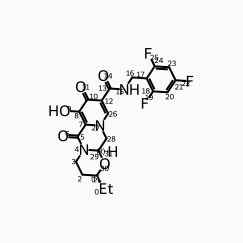 CC[C@H]1CCN2C(=O)c3c(O)c(=O)c(C(=O)NCc4c(F)cc(F)cc4F)cn3C[C@H]2O1